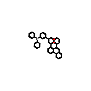 c1ccc(-c2cc3ccccc3c3cccc(-c4cccc(-c5cccc(N(c6ccccc6)c6ccccc6)c5)c4)c23)cc1